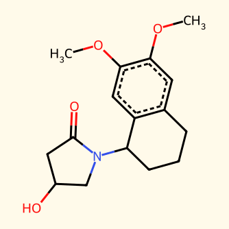 COc1cc2c(cc1OC)C(N1CC(O)CC1=O)CCC2